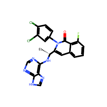 CC[C@@H](Nc1ncnc2[nH]cnc12)c1cc2cccc(F)c2c(=O)n1-c1ccc(Cl)c(Cl)c1